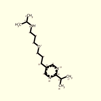 CC(C)NCCCOCCCc1cnc(C(C)C)nc1